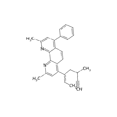 C#CC(C)C/C(=C\C)c1cc(C)nc2c1ccc1c(-c3ccccc3)cc(C)nc12